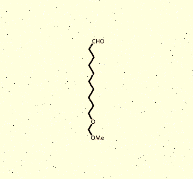 COCOCCCCCCCCCC=O